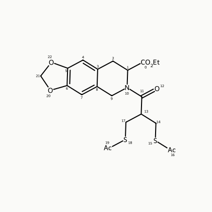 CCOC(=O)C1Cc2cc3c(cc2CN1C(=O)C(CSC(C)=O)CSC(C)=O)OCO3